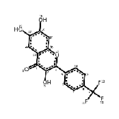 O=c1c(O)c(-c2ccc(C(F)(F)F)cc2)oc2cc(O)c(O)cc12